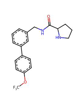 O=C(NCc1cccc(-c2ccc(OC(F)(F)F)cc2)c1)C1CCCN1